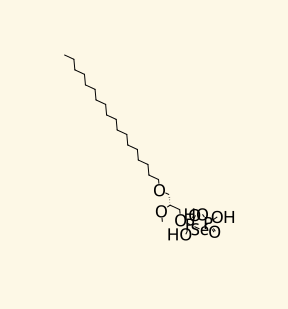 CCCCCCCCCCCCCCCCCCOC[C@H](COP(=O)(O)[Se]P(=O)(O)O)OC